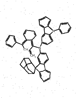 C=C/C(=c1/cccc/c1=C(/C)c1ccccc1)N(c1ccc2c(c1)C1(c3ccccc3-2)C2CC3CC(C2)CC1C3)c1ccc2c(c1)c1ccccc1n2-c1ccccc1